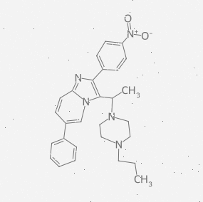 CCCN1CCN(C(C)c2c(-c3ccc([N+](=O)[O-])cc3)nc3ccc(-c4ccccc4)cn23)CC1